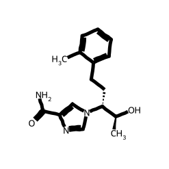 Cc1ccccc1CC[C@H]([C@H](C)O)n1cnc(C(N)=O)c1